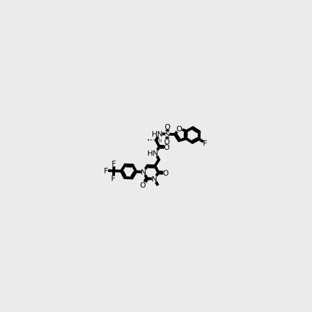 C[C@H](NS(=O)(=O)c1cc2cc(F)ccc2o1)C(=O)NCc1cn(-c2ccc(C(F)(F)F)cc2)c(=O)n(C)c1=O